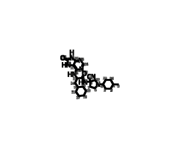 CC1CCC(N2CCC(C#N)(NC(=O)C(CC3CCCCC3)Nc3ncnc4[nH]c(=O)[nH]c34)C2)CC1